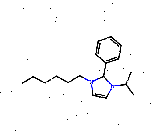 CCCCCCN1C=CN(C(C)C)C1c1ccccc1